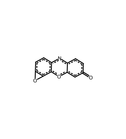 O=c1ccc2nc3ccc4c(c3oc-2c1)O4